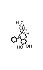 CCCCC1(CC)CN(c2ccccc2)c2cc(O)c(O)cc2SN1